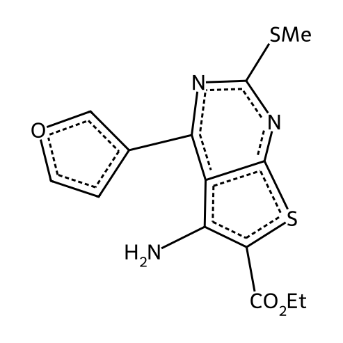 CCOC(=O)c1sc2nc(SC)nc(-c3ccoc3)c2c1N